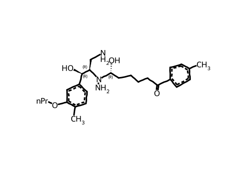 CCCOc1cc([C@@H](O)[C@@H](CN)N(N)[C@H](O)CCCCC(=O)c2ccc(C)cc2)ccc1C